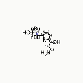 CCCCC(O)(/C=C/c1cccc(C(O)CCN)n1)CCCC